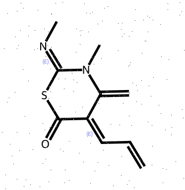 C=C/C=c1/c(=O)s/c(=N/C)n(C)c1=C